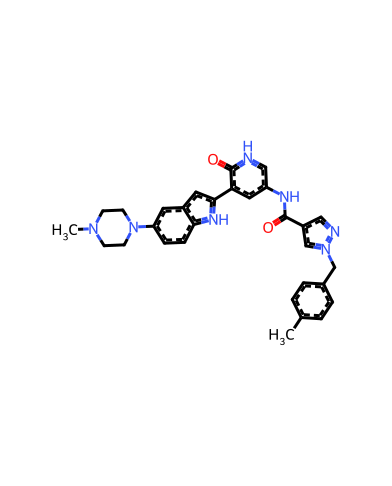 Cc1ccc(Cn2cc(C(=O)Nc3c[nH]c(=O)c(-c4cc5cc(N6CCN(C)CC6)ccc5[nH]4)c3)cn2)cc1